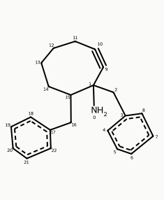 NC1(Cc2ccccc2)C#CCCCCC1Cc1ccccc1